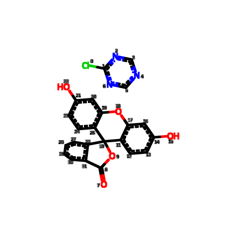 Clc1ncncn1.O=C1OC2(c3ccc(O)cc3Oc3cc(O)ccc32)c2ccccc21